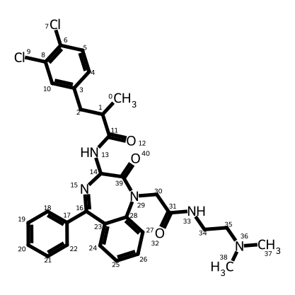 CC(Cc1ccc(Cl)c(Cl)c1)C(=O)NC1N=C(c2ccccc2)c2ccccc2N(CC(=O)NCCN(C)C)C1=O